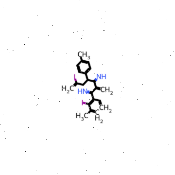 C=C/C(C(=N)C(=C)C(=N)C(CC(=C)I)c1ccc(C)cc1)=C(/I)C(=C)C